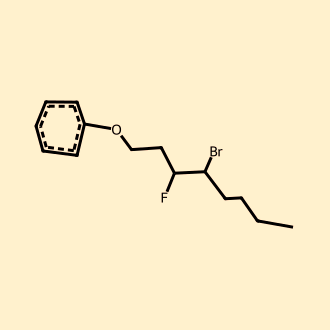 CCCCC(Br)C(F)CCOc1ccccc1